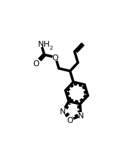 C=CCC(COC(N)=O)c1ccc2nonc2c1